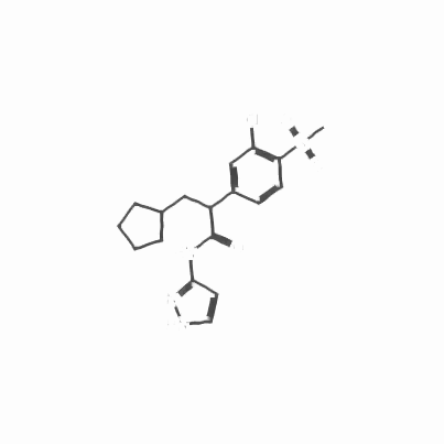 CS(=O)(=O)c1ccc(C(CC2CCCC2)C(=O)Nc2cc[nH]n2)cc1Cl